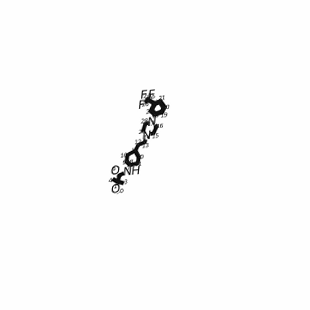 COC(C)(C)C(=O)NC1CCC(CCN2CCN(c3cccc(C(F)(F)F)c3)CC2)CC1